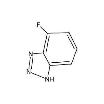 Fc1cccc2[nH]nnc12